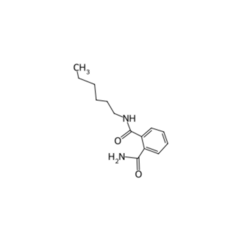 CCCCCCNC(=O)c1ccccc1C(N)=O